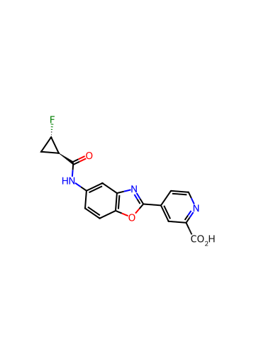 O=C(O)c1cc(-c2nc3cc(NC(=O)[C@H]4C[C@@H]4F)ccc3o2)ccn1